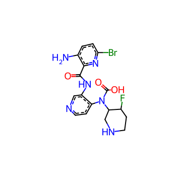 Nc1ccc(Br)nc1C(=O)Nc1cnccc1N(C(=O)O)C1CNCCC1F